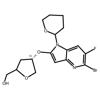 OCC1C[C@H](Oc2cc3nc(Br)c(F)cc3n2C2CCCCO2)CO1